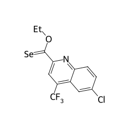 CCOC(=[Se])c1cc(C(F)(F)F)c2cc(Cl)ccc2n1